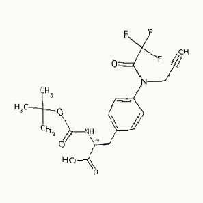 C#CCN(C(=O)C(F)(F)F)c1ccc(C[C@H](NC(=O)OC(C)(C)C)C(=O)O)cc1